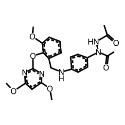 COc1cc(OC)nc(Oc2c(CNc3ccc(N(NC(C)=O)C(C)=O)cc3)cccc2OC)n1